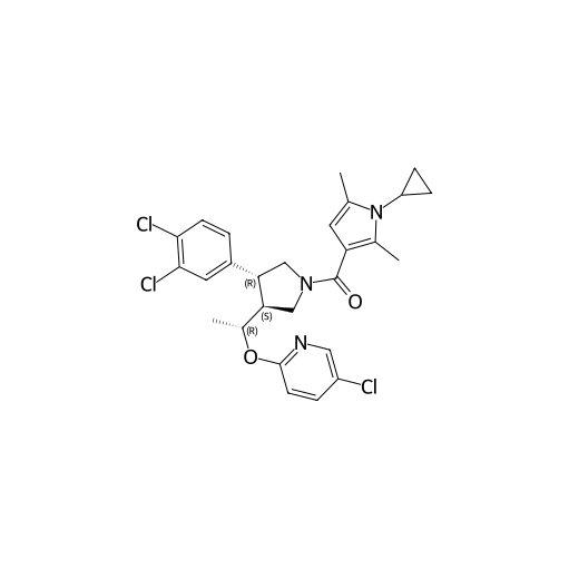 Cc1cc(C(=O)N2C[C@@H]([C@@H](C)Oc3ccc(Cl)cn3)[C@H](c3ccc(Cl)c(Cl)c3)C2)c(C)n1C1CC1